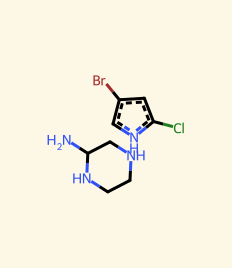 Clc1cc(Br)c[nH]1.NC1CNCCN1